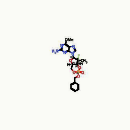 COc1nc(N)nc2c1ncn2[C@@H]1O[C@@H]2CO[P@@](=O)(OCc3ccccc3)O[C@H]2[C@@]1(C)F